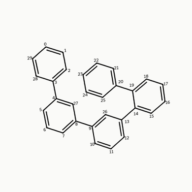 c1ccc(-c2cccc(-c3cccc(-c4ccccc4-c4ccccc4)c3)c2)cc1